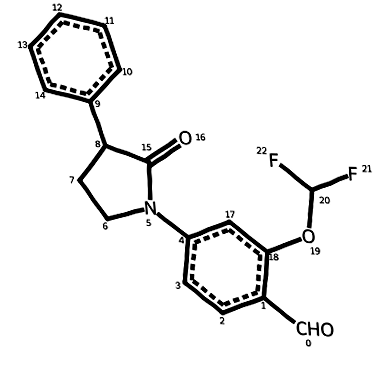 O=Cc1ccc(N2CCC(c3ccccc3)C2=O)cc1OC(F)F